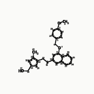 COc1ccc(COc2cc(SCc3sc(CO)nc3C)cc3cccnc23)cc1